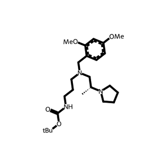 COc1ccc(CN(CCCNC(=O)OC(C)(C)C)C[C@@H](C)N2CCCC2)c(OC)c1